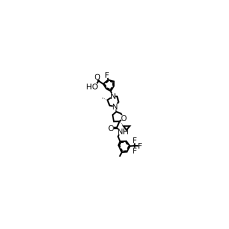 Cc1cc(CNC(=O)[C@@]2(C3CC3)CC[C@@H](N3CCN(c4ccc(F)c(C(=O)O)c4)[C@@H](C)C3)CO2)cc(C(F)(F)F)c1